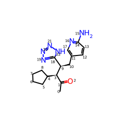 CC(=O)[C@@H](C1CCCC1)[C@H](Cc1ccc(N)nc1)c1nnn[nH]1